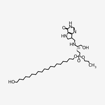 CCCOP(=O)(CC[C@@H](CO)NCC1CNc2c1nc[nH]c2=O)OCCCCCCCCCCCCCCCCCCCO